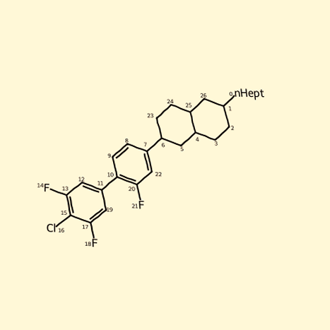 CCCCCCCC1CCC2CC(c3ccc(-c4cc(F)c(Cl)c(F)c4)c(F)c3)CCC2C1